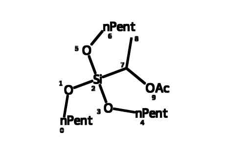 CCCCCO[Si](OCCCCC)(OCCCCC)C(C)OC(C)=O